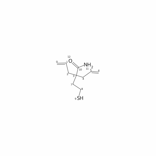 C=CCC(CC=C)(CCS)C(N)=O